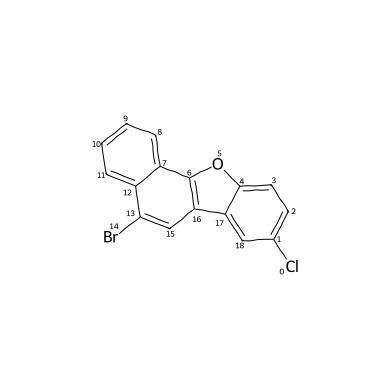 Clc1ccc2oc3c4ccccc4c(Br)cc3c2c1